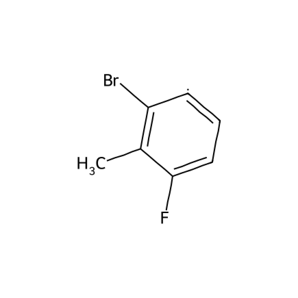 Cc1c(Br)[c]ccc1F